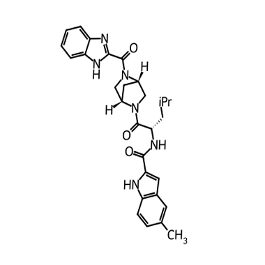 Cc1ccc2[nH]c(C(=O)N[C@@H](CC(C)C)C(=O)N3C[C@@H]4C[C@H]3CN4C(=O)c3nc4ccccc4[nH]3)cc2c1